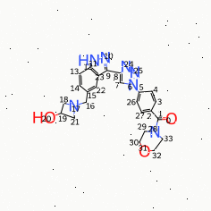 O=C(c1ccc(-n2cc(-c3n[nH]c4ccc(CN5CC(O)C5)cc34)nn2)cc1)N1CCOCC1